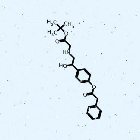 CC(C)(C)OC(=O)CNCC(O)c1ccc(OC(=O)Cc2ccccc2)cc1